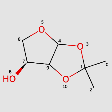 CC1(C)OC2OC[C@H](O)C2O1